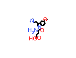 COc1ccc2c(c1)c(CCN(C)C)cn2C(=O)C(N)CCC(=O)O